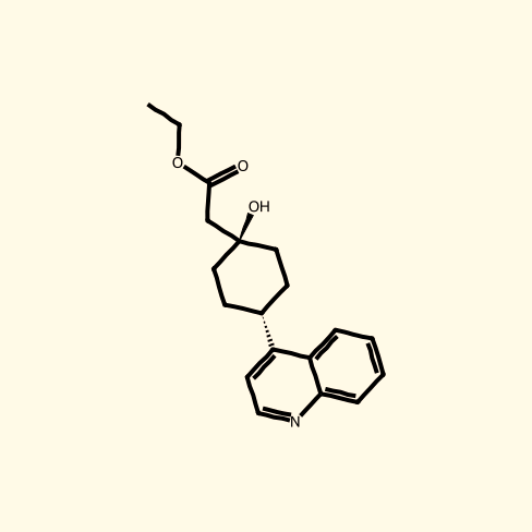 CCOC(=O)C[C@]1(O)CC[C@H](c2ccnc3ccccc32)CC1